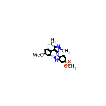 COc1cc(F)c(-c2c(C)nn(C)c2-n2cnc3cc(S(C)(=O)=O)ccc32)c(F)c1